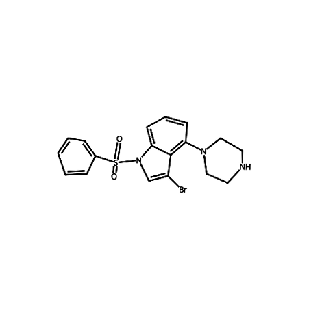 O=S(=O)(c1ccccc1)n1cc(Br)c2c(N3CCNCC3)cccc21